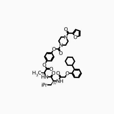 CC(C)C[C@H](NC(=O)COc1ccccc1C1CCCCC1)C(=O)N[C@@H](C)C(=O)Oc1ccc(OC(=O)N2CCN(C(=O)c3ccco3)CC2)cc1